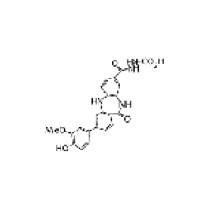 COc1cc(-c2ccc3c(c2)Nc2ccc(C(=O)NNC(=O)O)cc2NC3=O)ccc1O